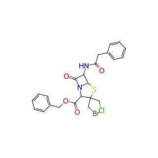 O=C(Cc1ccccc1)NC1C(=O)N2C1SC(CCl)(CBr)C2C(=O)OCc1ccccc1